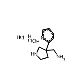 Cl.Cl.Cl.NCC1(c2ccccn2)CCNC1